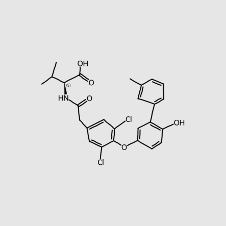 Cc1cccc(-c2cc(Oc3c(Cl)cc(CC(=O)N[C@H](C(=O)O)C(C)C)cc3Cl)ccc2O)c1